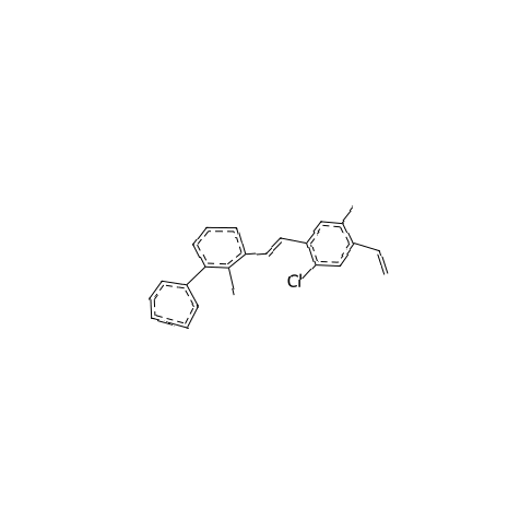 C=Cc1cc(Cl)c(/C=C/c2cccc(-c3ccccc3)c2C)cc1C